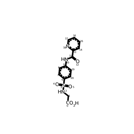 O=C(O)CNS(=O)(=O)c1ccc(NC(=O)c2ccccn2)cc1